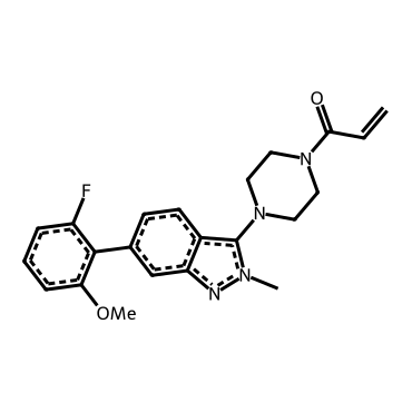 C=CC(=O)N1CCN(c2c3ccc(-c4c(F)cccc4OC)cc3nn2C)CC1